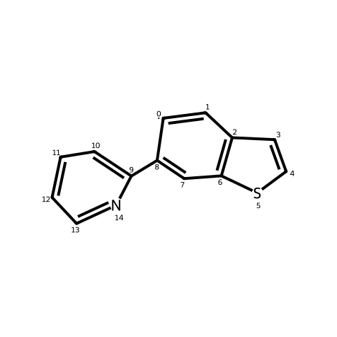 [c]1cc2ccsc2cc1-c1ccccn1